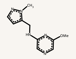 COc1cncc(NCc2ccnn2C)n1